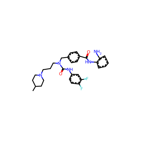 CC1CCN(CCCN(Cc2ccc(C(=O)Nc3ccccc3N)cc2)C(=O)Nc2ccc(F)c(F)c2)CC1